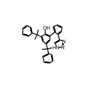 CC(C)(c1ccccc1)c1cc(-c2ccccc2-c2c[nH]nn2)c(O)c(C(C)(C)c2ccccc2)c1